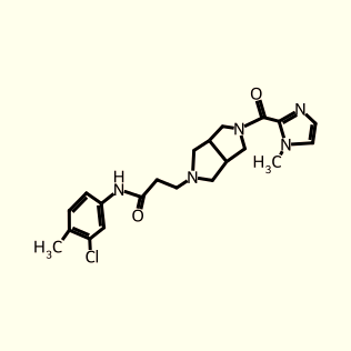 Cc1ccc(NC(=O)CCN2CC3CN(C(=O)c4nccn4C)CC3C2)cc1Cl